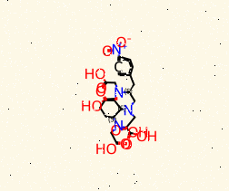 O=C(O)CN(CC(=O)O)[C@@H](Cc1ccc([N+](=O)[O-])cc1)CN(CC(=O)O)[C@H]1CCCC[C@@H]1N(CC(=O)O)CC(=O)O